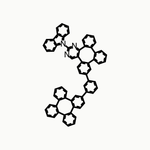 c1cc(-c2ccc3c(c2)-c2ccccc2-c2ccccc2-c2ccccc2-3)cc(-c2ccc3c(c2)-c2ccccc2-c2ccccc2-c2nc(-n4c5ccccc5c5ccccc54)ncc2-3)c1